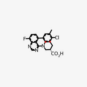 Cc1cc(-c2ccc(F)c3ncnc(N4CCC[C@H](C(=O)O)C4)c23)ccc1Cl